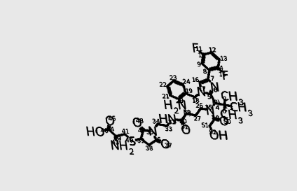 CC(C)(C)[C@H](c1nc(-c2cc(F)ccc2F)cn1Cc1ccccc1)N(CC[C@H](N)C(=O)NCCN1C(=O)CC(SC[C@H](N)C(=O)O)C1=O)C(=O)CO